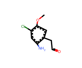 COc1cc(CC=O)c(N)cc1Cl